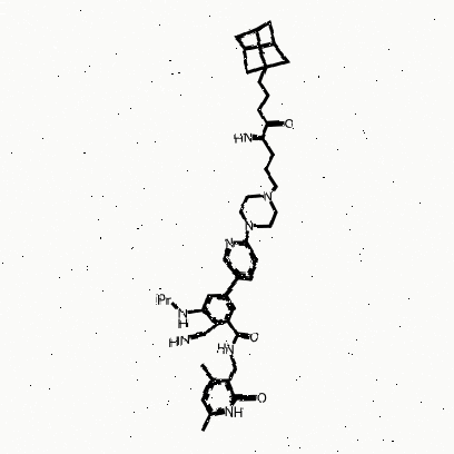 Cc1cc(C)c(CNC(=O)c2cc(-c3ccc(N4CCN(CCCC(=N)C(=O)CCCC56CC7CC8CC(C5)C876)CC4)nc3)cc(NC(C)C)c2C=N)c(=O)[nH]1